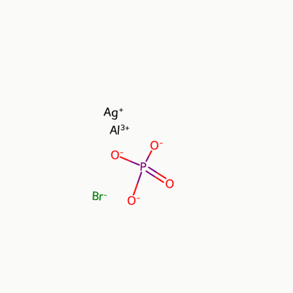 O=P([O-])([O-])[O-].[Ag+].[Al+3].[Br-]